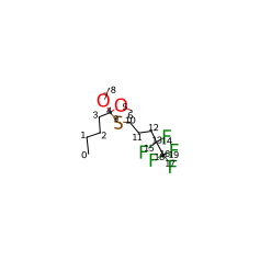 CCCCC(OC)(OC)SCCCC(F)(F)C(F)(F)F